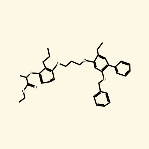 CCCc1c(OCCCOc2cc(OCc3ccccc3)c(-c3ccccc3)cc2CC)cccc1OC(C)C(=O)OCC